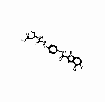 CCC(CC(=O)O)NC(=O)NSc1ccc(NC(=O)c2cc3c(Cl)c(Cl)ccc3n2C)cc1